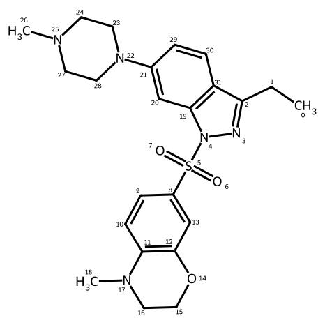 CCc1nn(S(=O)(=O)c2ccc3c(c2)OCCN3C)c2cc(N3CCN(C)CC3)ccc12